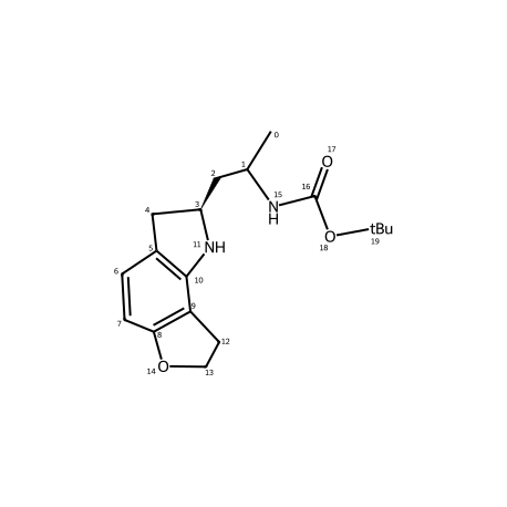 CC(C[C@@H]1Cc2ccc3c(c2N1)CCO3)NC(=O)OC(C)(C)C